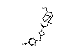 [C-]#[N+]c1ccc(OC2CN(C(=O)CC3(C)C4CC5CC3CC(C4)C5O)C2)nc1